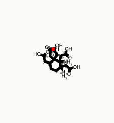 NC1(CC(=O)O)CCC(CC(=O)O)C(CC(=O)O)(CC(=O)O)C1(N)CC(=O)O